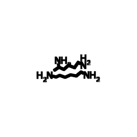 CC(N)CCCCN.NCCCCCCN